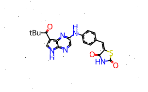 CC(C)(C)C(=O)c1c[nH]c2ncc(Nc3ccc(C=C4SC(=O)NC4=O)cc3)nc12